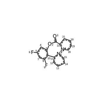 O=C1Oc2cc(F)cc(F)c2-c2cccc[n+]2-[n+]2ccccc21